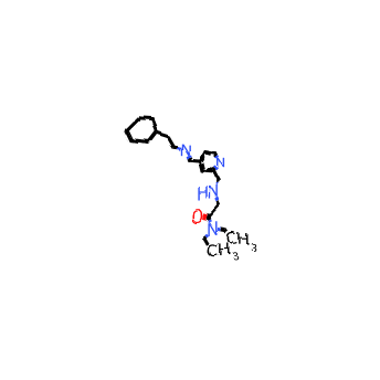 CCN(CC)C(=O)CNCc1cc(C=NCCC2CCCCC2)ccn1